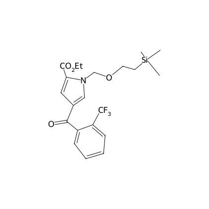 CCOC(=O)c1cc(C(=O)c2ccccc2C(F)(F)F)cn1COCC[Si](C)(C)C